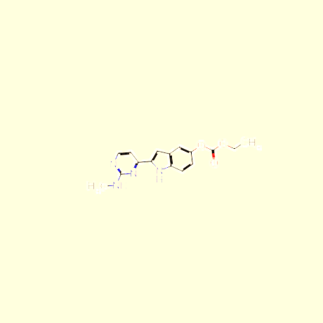 CCOC(=O)Oc1ccc2[nH]c(-c3ccnc(NC)n3)cc2c1